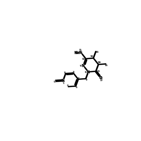 C=N/C=C\C(=C/C)CN1N=C(NC)C(C)C(C)C1=O